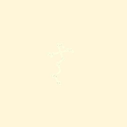 CCNCOOC(C)(C)C